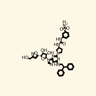 NS(=O)(=O)c1cccc(NC(=O)NC2CCN(c3nc(NCC(c4ccccc4)c4ccccc4)c4ncn([C@@H]5O[C@H](c6cc(CO)no6)[C@@H](O)[C@H]5O)c4n3)C2)c1